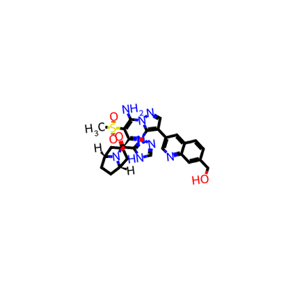 CS(=O)(=O)c1c([C@@H]2C[C@H]3CC[C@@H](C2)N3C(=O)c2nnc[nH]2)nc2c(-c3cnc4cc(CO)ccc4c3)cnn2c1N